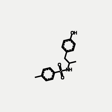 Cc1ccc(S(=O)(=O)NC(C)Cc2ccc(O)cc2)cc1